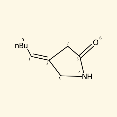 CCCCC=C1CNC(=O)C1